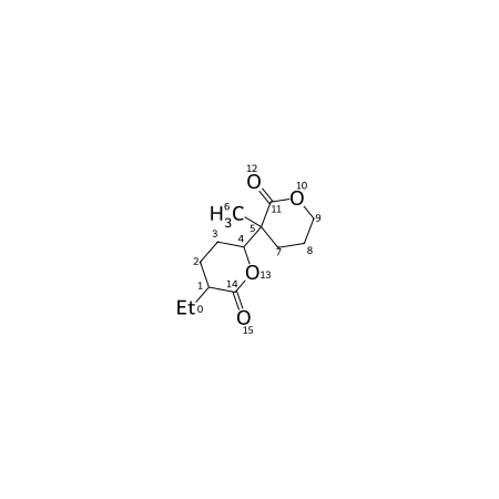 CCC1CCC(C2(C)CCCOC2=O)OC1=O